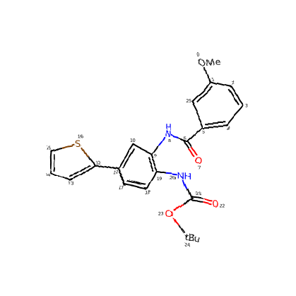 COc1cccc(C(=O)Nc2cc(-c3cccs3)ccc2NC(=O)OC(C)(C)C)c1